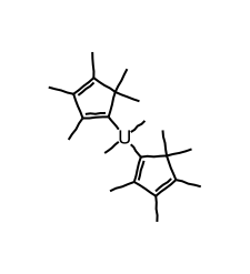 CC1=C(C)C(C)(C)[C]([U]([CH3])([CH3])[C]2=C(C)C(C)=C(C)C2(C)C)=C1C